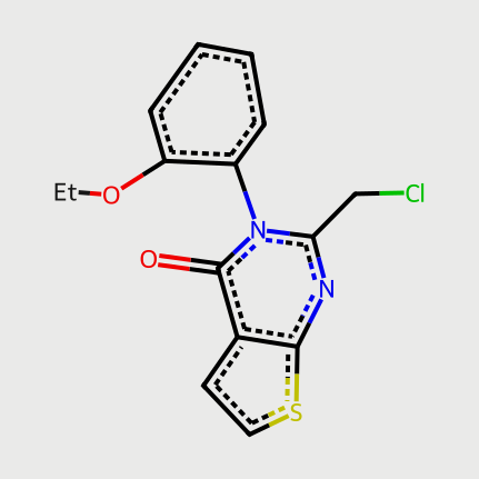 CCOc1ccccc1-n1c(CCl)nc2sccc2c1=O